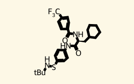 CC(C)(C)NSc1ccc(NC(=O)[C@H](CC2CCCCC2)NC(=O)c2ccc(C(F)(F)F)cc2)cc1